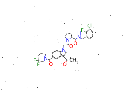 CC(=O)c1cn(CC(=O)N2CCC[C@H]2C(=O)NCc2cccc(Cl)c2F)c2ccc(C(=O)N3CCCC(F)(F)C3)cc12